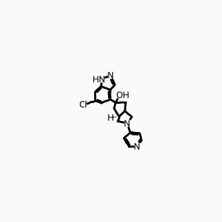 OC1(c2cc(Cl)cc3[nH]ncc23)CC2CN(c3ccncc3)C[C@H]2C1